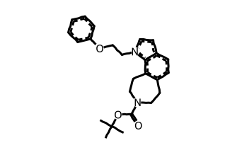 CC(C)(C)OC(=O)N1CCc2ccc3ccn(CCOc4ccccc4)c3c2CC1